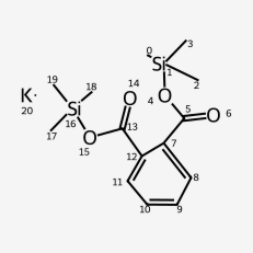 C[Si](C)(C)OC(=O)c1ccccc1C(=O)O[Si](C)(C)C.[K]